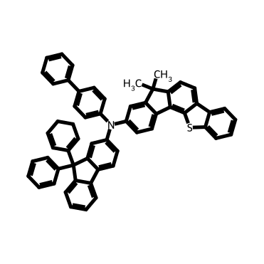 CC1(C)c2cc(N(c3ccc(-c4ccccc4)cc3)c3ccc4c(c3)C(C3=CCCC=C3)(c3ccccc3)c3ccccc3-4)ccc2-c2c1ccc1c2sc2ccccc21